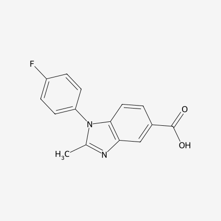 Cc1nc2cc(C(=O)O)ccc2n1-c1ccc(F)cc1